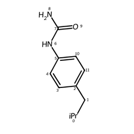 CC(C)Cc1ccc(NC(N)=O)cc1